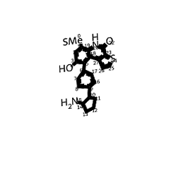 CSc1cc(O)c(-c2ccc(C3CCCC3N)cc2)c2c1[nH]c(=O)c1sccc12